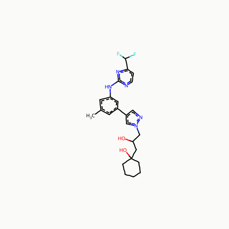 Cc1cc(Nc2nccc(C(F)F)n2)cc(-c2cnn(CC(O)CC3(O)CCCCC3)c2)c1